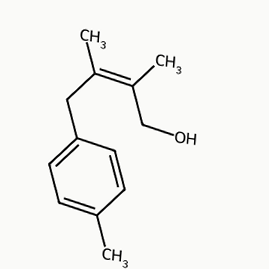 CC(CO)=C(C)Cc1ccc(C)cc1